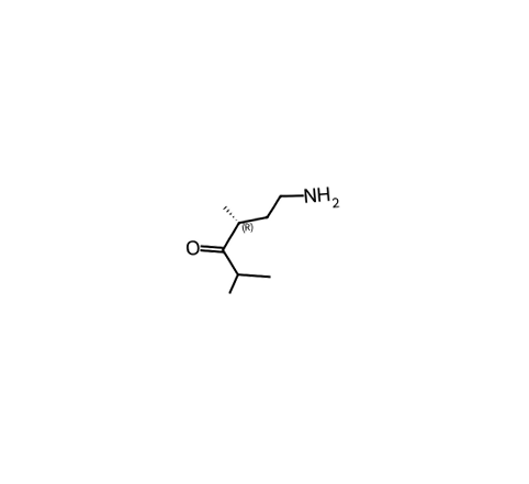 CC(C)C(=O)[C@H](C)CCN